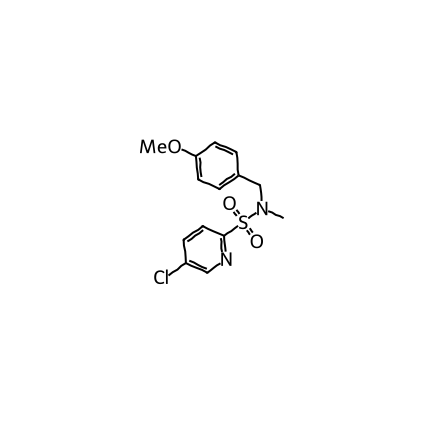 COc1ccc(CN(C)S(=O)(=O)c2ccc(Cl)cn2)cc1